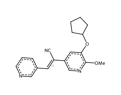 COc1ncc(/C(C#N)=C/c2cccnc2)cc1OC1CCCC1